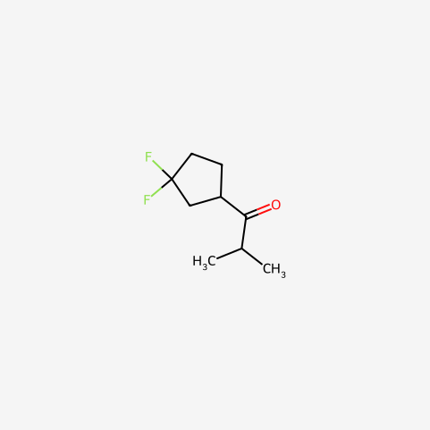 CC(C)C(=O)C1CCC(F)(F)C1